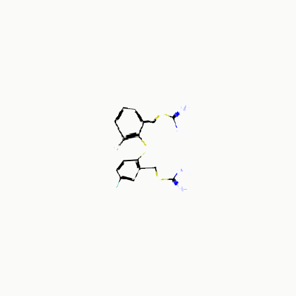 N=C(N)SCc1cc(F)ccc1Sc1c(CSC(=N)N)cccc1[N+](=O)[O-]